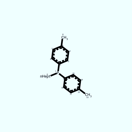 CCCCCCCP(c1ccc(C)cc1)c1ccc(C)cc1